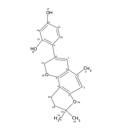 Cc1cc2c(c3c1C=C(c1ccc(O)cc1O)CO3)CCC(C)(C)O2